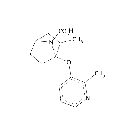 Cc1ncccc1OC12CCC(CC1C)N2C(=O)O